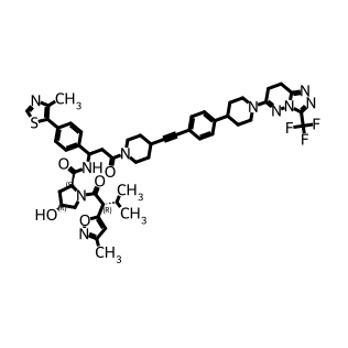 Cc1cc([C@H](C(=O)N2C[C@H](O)C[C@H]2C(=O)NC(CC(=O)N2CCC(C#Cc3ccc(C4CCN(C5=Nn6c(nnc6C(F)(F)F)CC5)CC4)cc3)CC2)c2ccc(-c3scnc3C)cc2)C(C)C)on1